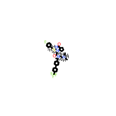 [2H]C([2H])(Sc1nc(=O)c2c(n1C([2H])([2H])C(=O)N(CCN(C([2H])([2H])C)C([2H])([2H])C)C([2H])(C)c1ccc(-c3ccc(C(F)(F)F)cc3)cc1)CCC2)c1ccc(F)cc1